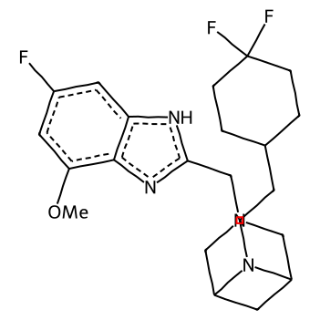 COc1cc(F)cc2[nH]c(CN3CC4CC(C3)N4CCC3CCC(F)(F)CC3)nc12